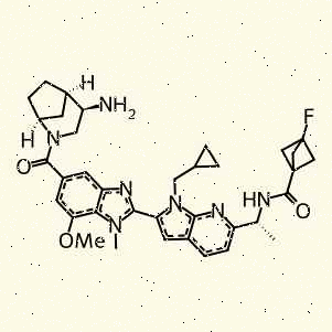 COc1cc(C(=O)N2C[C@H](N)[C@@H]3CC[C@H]2C3)cc2nc(-c3cc4ccc([C@@H](C)NC(=O)C56CC(F)(C5)C6)nc4n3CC3CC3)n(C)c12